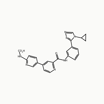 O=C(O)Nc1ccc(-c2ccnc(C(=O)Nc3cccc(-c4nncn4C4CC4)c3)c2)cn1